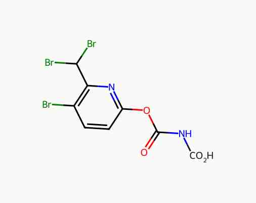 O=C(O)NC(=O)Oc1ccc(Br)c(C(Br)Br)n1